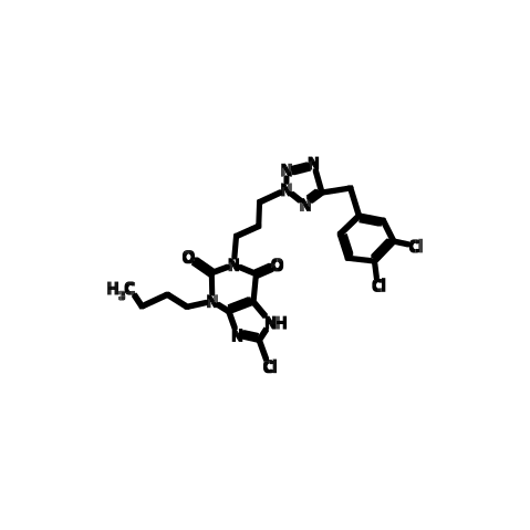 CCCCn1c(=O)n(CCCn2nnc(Cc3ccc(Cl)c(Cl)c3)n2)c(=O)c2[nH]c(Cl)nc21